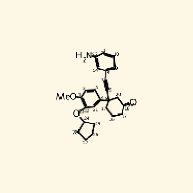 COc1ccc(C2(C#Cc3cccc(N)c3)CCCC(=O)C2)cc1OC1CCCC1